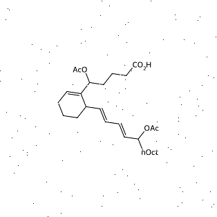 CCCCCCCCC(/C=C/C=C/C1CCCC=C1C(CCCC(=O)O)OC(C)=O)OC(C)=O